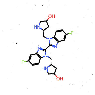 OC1CN[C@H](Cn2c(-c3nc4cc(F)ccc4n3C[C@@H]3CC(O)CN3)nc3cc(F)ccc32)C1